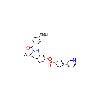 CC(=O)[C@H](Cc1ccc(OC(=O)c2ccc(-c3cccnc3)cc2)cc1)NC(=O)c1ccc(C(C)(C)C)cc1